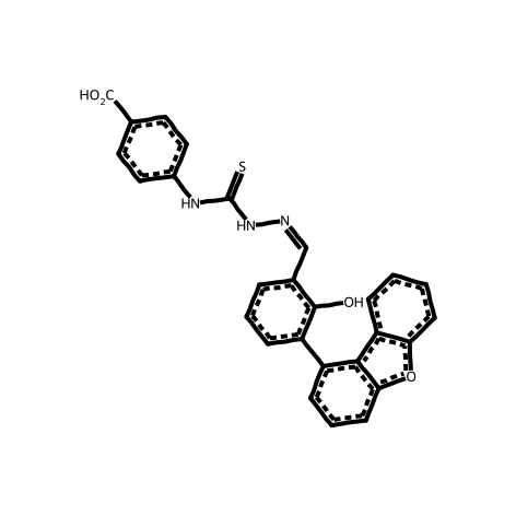 O=C(O)c1ccc(NC(=S)N/N=C\c2cccc(-c3cccc4oc5ccccc5c34)c2O)cc1